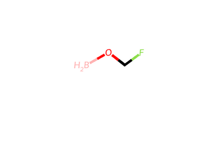 BOCF